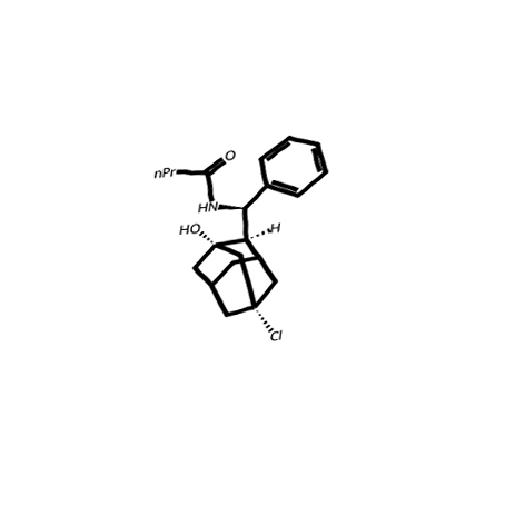 CCCC(=O)N[C@@H](c1ccccc1)[C@H]1C2CC3C[C@](Cl)(C2)C[C@@]1(O)C3